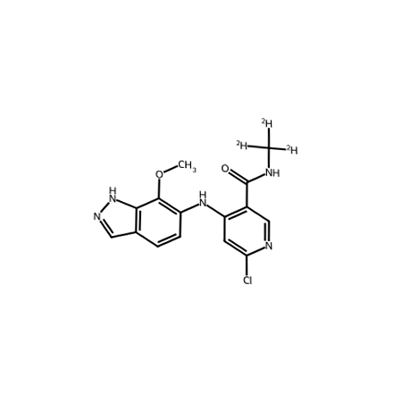 [2H]C([2H])([2H])NC(=O)c1cnc(Cl)cc1Nc1ccc2cn[nH]c2c1OC